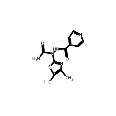 Cc1nc(N(NC(=O)c2ccncc2)C(N)=O)sc1C